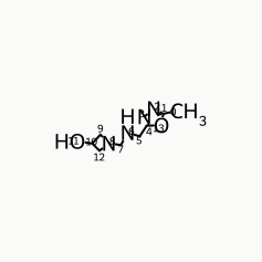 Cc1nnc(CNCN2CC(O)C2)o1